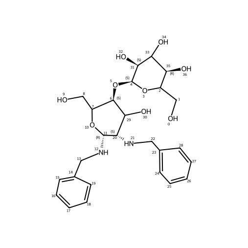 OCC1O[C@@H](O[C@@H]2C(CO)O[C@@H](NCc3ccccc3)[C@@H](NCc3ccccc3)C2O)[C@@H](O)C(O)[C@H]1O